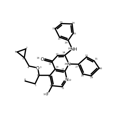 CCC(OCC1CC1)c1c(F)cnc2c1c(=O)cc(Nc1ccccc1)n2-c1ccccc1